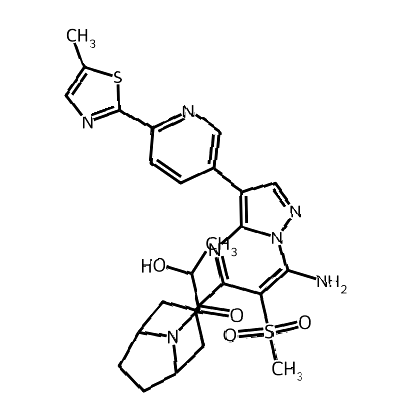 Cc1cnc(-c2ccc(-c3cnn4c(N)c(S(C)(=O)=O)c(C5CC6CCC(C5)N6C(=O)C(C)O)nc34)cn2)s1